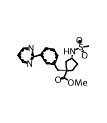 COC(=O)[C@@]1(Cc2cccc(-c3ncccn3)c2)CC[C@H](NS(C)(=O)=O)C1